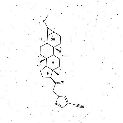 COC1C2[C@@H]3CC[C@@H]4[C@H](CC[C@]5(C)[C@@H](C(=O)Cn6cc(C#N)cn6)CC[C@@H]45)[C@H]3CC[C@]12O